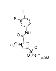 CC[C@@H](C)CNS(=O)(=O)c1cc(C(=O)Nc2ccc(F)c(F)c2)n(C)c1